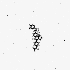 Cc1ccc(NS(=O)(=O)c2ccc3c(c2)[C@H]2OCCC2C(c2ccc(C(=O)C(C)C)cc2)N3)cc1C